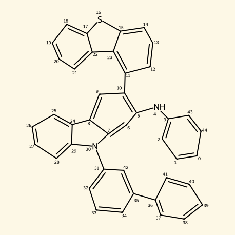 c1ccc(Nc2cc3c(cc2-c2cccc4sc5ccccc5c24)c2ccccc2n3-c2cccc(-c3ccccc3)c2)cc1